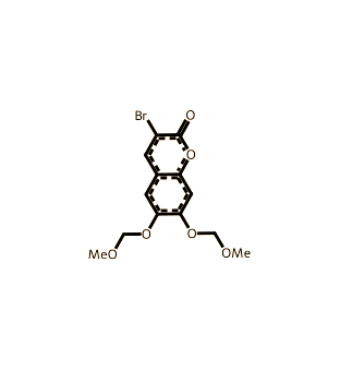 COCOc1cc2cc(Br)c(=O)oc2cc1OCOC